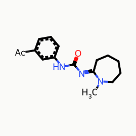 CC(=O)c1cccc(NC(=O)N=C2CCCCCN2C)c1